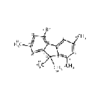 Cc1cc(C)c2c(c1)-c1c(Br)cc(C)cc1C2(C)C